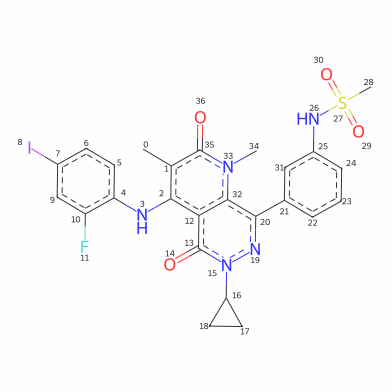 Cc1c(Nc2ccc(I)cc2F)c2c(=O)n(C3CC3)nc(-c3cccc(NS(C)(=O)=O)c3)c2n(C)c1=O